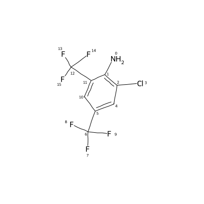 Nc1c(Cl)cc(C(F)(F)F)cc1C(F)(F)F